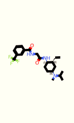 CC[C@@H]1C[C@H](N(C)C(C)C)CC[C@@H]1NC(=O)CNC(=O)c1cccc(C(F)(F)F)c1